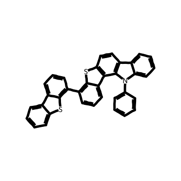 c1ccc(-n2c3ccccc3c3ccc4sc5c(-c6cccc7c6sc6ccccc67)cccc5c4c32)cc1